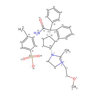 COCC[N+]1=C(C)N([C@@H]2CC[C@H](C(C(N)=O)(c3ccccc3)c3ccccc3)C2)CC1.Cc1ccc(S(=O)(=O)[O-])cc1